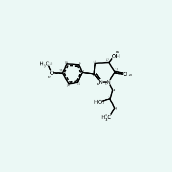 CCC(O)CN1N=C(c2ccc(OC)cc2)CC(O)C1=O